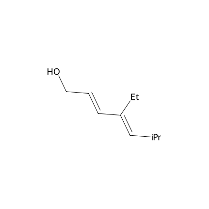 CCC(/C=C/CO)=C\C(C)C